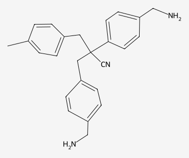 Cc1ccc(CC(C#N)(Cc2ccc(CN)cc2)c2ccc(CN)cc2)cc1